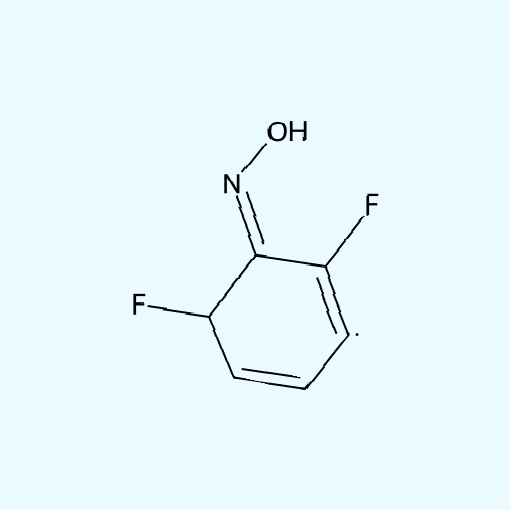 ON=C1C(F)=[C]C=CC1F